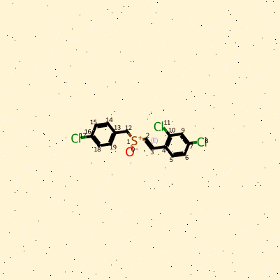 [O-][S+](/C=C/c1ccc(Cl)cc1Cl)Cc1ccc(Cl)cc1